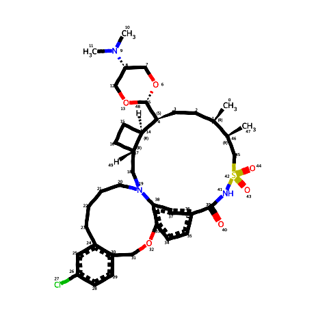 C[C@@H]1CC[C@H]([C@H]2OC[C@@H](N(C)C)CO2)[C@@H]2CC[C@H]2CN2CCCCc3cc(Cl)ccc3COc3ccc(cc32)C(=O)NS(=O)(=O)C[C@@H]1C